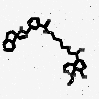 C/C=C\c1c(C(O)CNCCCCNC(=O)c2cccc(CNC3(C=O)CCc4ccccc43)c2)ccc(O)c1NC=O